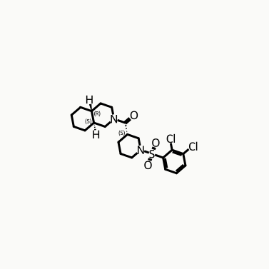 O=C([C@H]1CCCN(S(=O)(=O)c2cccc(Cl)c2Cl)C1)N1CC[C@H]2CCCC[C@@H]2C1